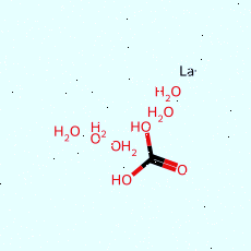 O.O.O.O.O.O=C(O)O.[La]